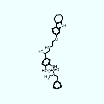 CN(Cc1ccccc1)S(=O)(=O)Nc1cc(C(O)CNCCOc2ccc3c4c([nH]c3c2)CCCC4)ccc1O